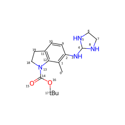 Cc1c(NC2NCCN2)ccc2c1N(C(=O)OC(C)(C)C)CC2